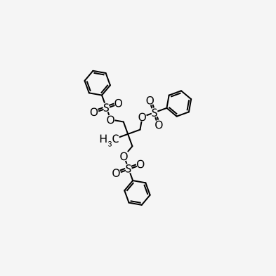 CC(COS(=O)(=O)c1ccccc1)(COS(=O)(=O)c1ccccc1)COS(=O)(=O)c1ccccc1